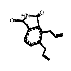 C=CCc1ccc2c(c1CC=C)C(=O)NC2=O